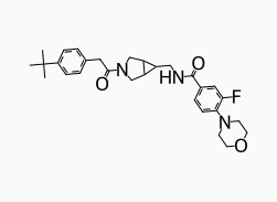 CC(C)(C)c1ccc(CC(=O)N2CC3C(CNC(=O)c4ccc(N5CCOCC5)c(F)c4)C3C2)cc1